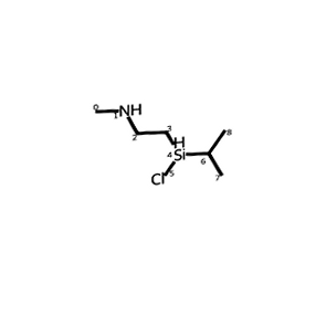 CNCC[SiH](Cl)C(C)C